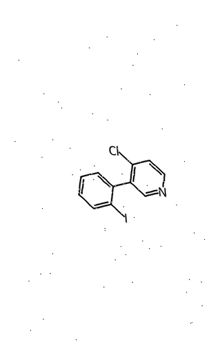 Clc1ccncc1-c1ccccc1I